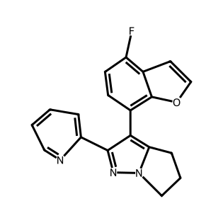 Fc1ccc(-c2c(-c3ccccn3)nn3c2CCC3)c2occc12